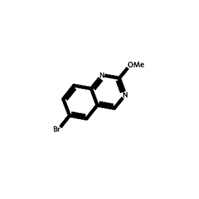 COc1ncc2cc(Br)ccc2n1